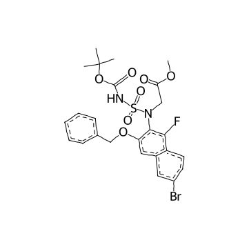 COC(=O)CN(c1c(OCc2ccccc2)cc2cc(Br)ccc2c1F)S(=O)(=O)NC(=O)OC(C)(C)C